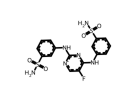 NS(=O)(=O)c1cccc(Nc2ncc(F)c(Nc3cccc(S(N)(=O)=O)c3)n2)c1